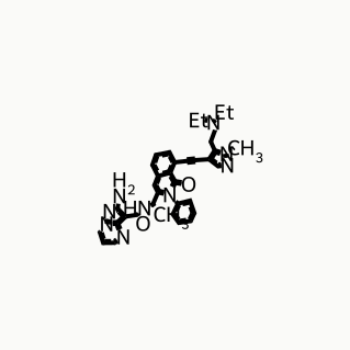 CCN(CC)CCc1c(C#Cc2cccc3cc(C(C)NC(=O)c4c(N)nn5cccnc45)n(-c4ccccc4)c(=O)c23)cnn1C